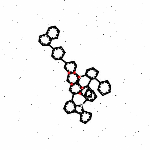 c1ccc(-c2ccccc2-c2c(-c3ccccc3)cccc2N(c2ccc(-c3ccc(-c4cccc5ccccc45)cc3)cc2)c2ccc(-c3cccc4c5ccccc5n(-c5ccccc5)c34)cc2)cc1